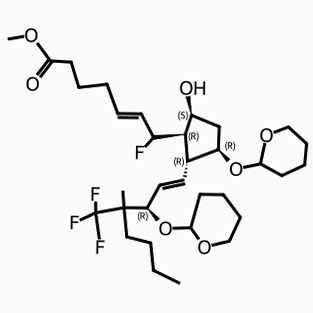 CCCCC(C)([C@@H](C=C[C@@H]1[C@@H](C(F)C=CCCCC(=O)OC)[C@@H](O)C[C@H]1OC1CCCCO1)OC1CCCCO1)C(F)(F)F